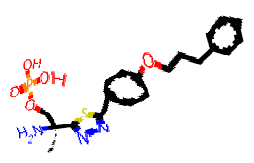 C[C@](N)(COP(=O)(O)O)c1nnc(-c2ccc(OCCCc3ccccc3)cc2)s1